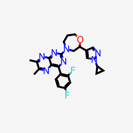 Cc1nc2nc(N3CCCOC(c4cnn(C5CC5)c4)C3)nc(-c3ccc(F)cc3F)c2nc1C